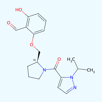 CC(C)n1nccc1C(=O)N1CCC[C@H]1COc1cccc(O)c1C=O